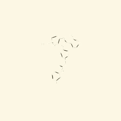 Cc1ccc2nc(-c3cccnc3N)n(-c3ccc(CC(=O)Nc4cccc(F)c4)cc3)c2n1